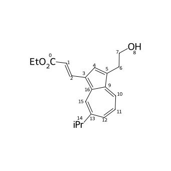 CCOC(=O)C=Cc1cc(CCO)c2cccc(C(C)C)cc1-2